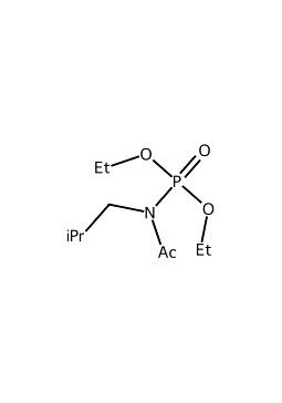 CCOP(=O)(OCC)N(CC(C)C)C(C)=O